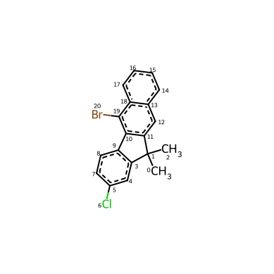 CC1(C)c2cc(Cl)ccc2-c2c1cc1ccccc1c2Br